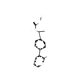 CC(NC(=O)OC(C)(C)C)c1ccc(-c2cccnc2Cl)cc1